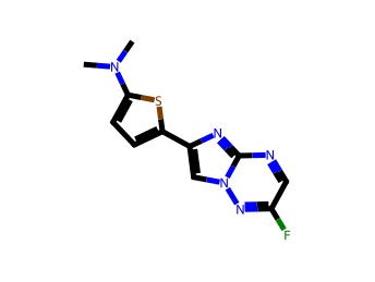 CN(C)c1ccc(-c2cn3nc(F)cnc3n2)s1